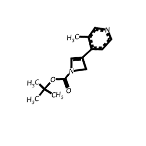 Cc1cnccc1C1=CN(C(=O)OC(C)(C)C)C1